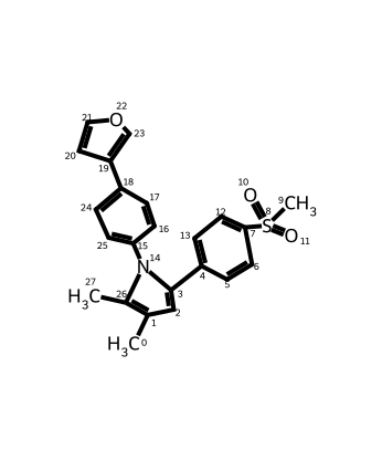 Cc1cc(-c2ccc(S(C)(=O)=O)cc2)n(-c2ccc(-c3ccoc3)cc2)c1C